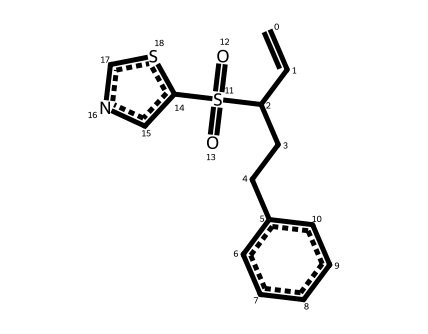 C=CC(CCc1ccccc1)S(=O)(=O)c1cncs1